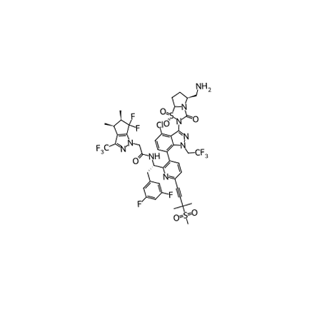 C[C@@H]1c2c(C(F)(F)F)nn(CC(=O)N[C@@H](Cc3cc(F)cc(F)c3)c3nc(C#CC(C)(C)S(C)(=O)=O)ccc3-c3ccc(Cl)c4c(N5C(=O)N6C(CC[C@H]6CN)S5(=O)=O)nn(CC(F)(F)F)c34)c2C(F)(F)[C@@H]1C